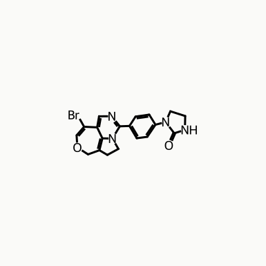 O=C1NCCN1c1ccc(C2=NC=C3C(Br)=COCC4=C3N2CC4)cc1